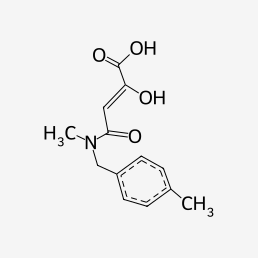 Cc1ccc(CN(C)C(=O)/C=C(\O)C(=O)O)cc1